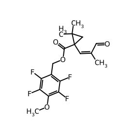 COc1c(F)c(F)c(COC(=O)C2(C=C(C)C=O)CC2(C)C)c(F)c1F